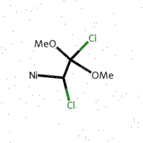 COC(Cl)(OC)[CH](Cl)[Ni]